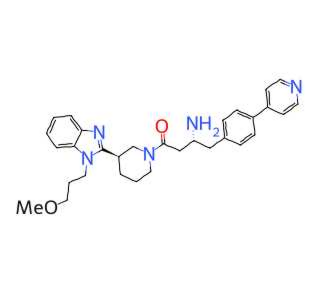 COCCCn1c([C@@H]2CCCN(C(=O)C[C@H](N)Cc3ccc(-c4ccncc4)cc3)C2)nc2ccccc21